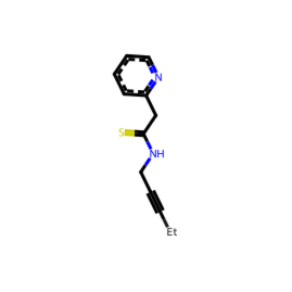 CCC#CCNC(=S)Cc1ccccn1